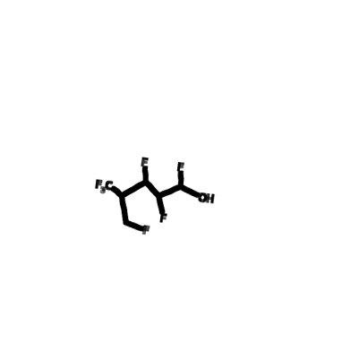 OC(F)C(F)C(F)C(CF)C(F)(F)F